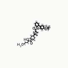 CCCCC(O)C(=O)N1CCC(c2nc(C(=O)Nc3ccccc3-c3ccc(OC(F)(F)F)cc3)cs2)CC1